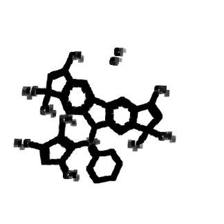 CC1=CC(C)[C]([Zr+2](=[C]2CCCCC2)[CH]2c3cc4c(cc3-c3cc5c(cc32)C(C)(C)C=C5C)C(C)=CC4(C)C)=C1C.[Cl-].[Cl-]